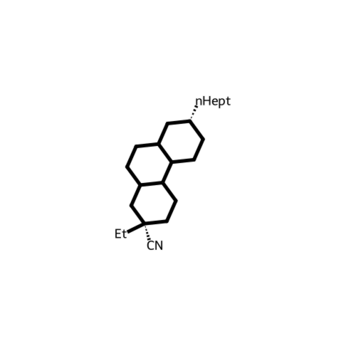 CCCCCCC[C@@H]1CCC2C(CCC3C[C@](C#N)(CC)CCC32)C1